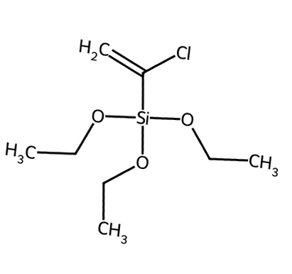 C=C(Cl)[Si](OCC)(OCC)OCC